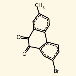 Cc1ccc2c(c1)C(=O)C(=O)c1cc(Br)ccc1-2